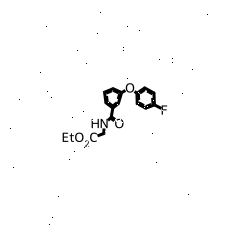 CCOC(=O)CNC(=O)c1cccc(Oc2ccc(F)cc2)c1